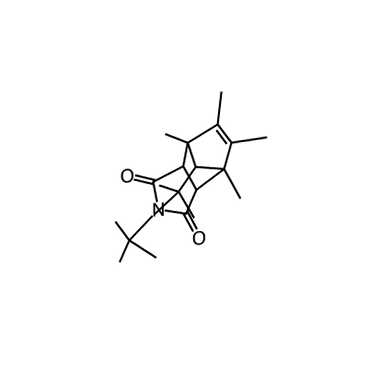 CC1=C(C)C2(C)C3C(=O)N(C(C)(C)C)C(=O)C3C1(C)C2C(C)(C)C